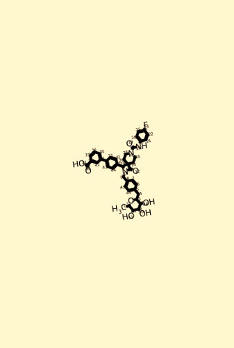 CC1OC(Cc2ccc(CN3C(=O)C4(CCN(C(=O)Nc5ccc(F)cc5)CC4)C3c3ccc(-c4cccc(C(=O)O)c4)cc3)cc2)C(O)C(O)C1O